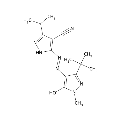 CC(C)c1n[nH]c(/N=N/c2c(C(C)(C)C)nn(C)c2O)c1C#N